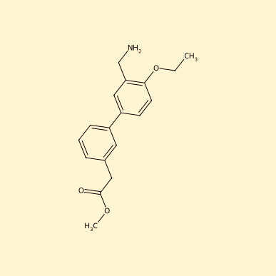 CCOc1ccc(-c2cccc(CC(=O)OC)c2)cc1CN